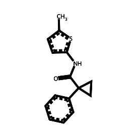 Cc1ccc(NC(=O)C2(c3ccccc3)CC2)s1